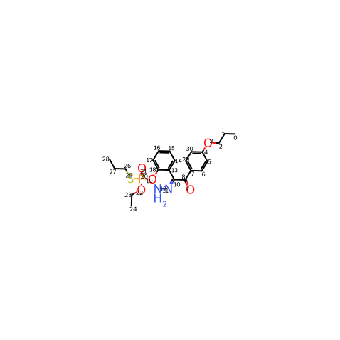 CCCOc1ccc(C(=O)/C(=N/N)c2ccccc2OP(=O)(OCC)SCCC)cc1